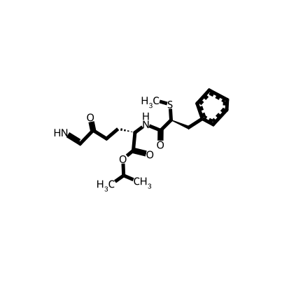 CS[C@@H](Cc1ccccc1)C(=O)N[C@@H](CCC(=O)C=N)C(=O)OC(C)C